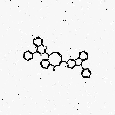 C=C1/C=C(c2ccc3c(c2)c2ccccc2n3-c2ccccc2)\C=C/CN(c2nc(-c3ccccc3)c3ccccc3n2)c2ccccc21